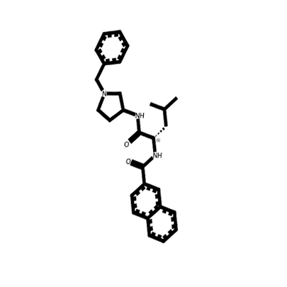 CC(C)C[C@H](NC(=O)c1ccc2ccccc2c1)C(=O)NC1CCN(Cc2ccccc2)C1